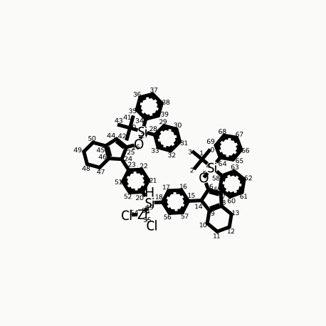 CC(C)(C)[Si](OC1=CC2=C(CCCC2)C1c1ccc([SiH](c2ccc(C3C(O[Si](c4ccccc4)(c4ccccc4)C(C)(C)C)=CC4=C3CCCC4)cc2)[Zr]([Cl])[Cl])cc1)(c1ccccc1)c1ccccc1